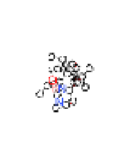 CC(C)(C)c1ccc([Si](c2ccccc2)(c2cccc(-c3ccccc3)c2)c2cc(-c3cc4c5c(c3)N(c3cc(-c6ccccc6)cc(-c6ccccc6)c3)c3cc(-n6c7ccccc7c7ccccc76)ccc3B5c3cc(-c5ccccc5)ccc3O4)cc([Si](c3ccccc3)(c3ccccc3)c3cc(-c4ccccc4)cc(-c4ccccc4)c3)c2)cc1